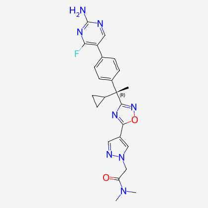 CN(C)C(=O)Cn1cc(-c2nc([C@@](C)(c3ccc(-c4cnc(N)nc4F)cc3)C3CC3)no2)cn1